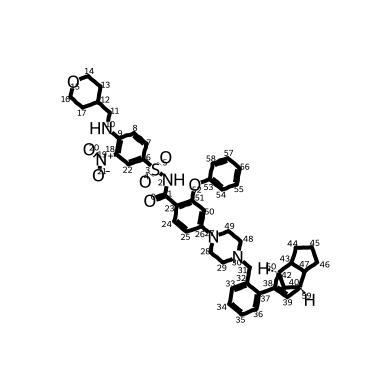 O=C(NS(=O)(=O)c1ccc(NCC2CCOCC2)c([N+](=O)[O-])c1)c1ccc(N2CCN(Cc3ccccc3C3=C[C@H]4C[C@@H]3C3CCCC34)CC2)cc1Oc1ccccc1